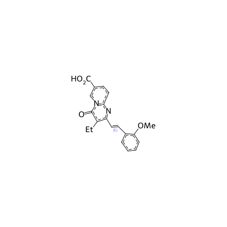 CCc1c(/C=C/c2ccccc2OC)nc2ccc(C(=O)O)cn2c1=O